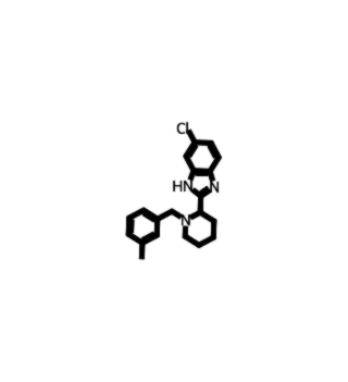 Cc1cccc(CN2CCCCC2c2nc3ccc(Cl)cc3[nH]2)c1